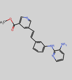 COC(=O)c1cncc(C=Cc2cccc(Nc3ncccc3N)c2)c1